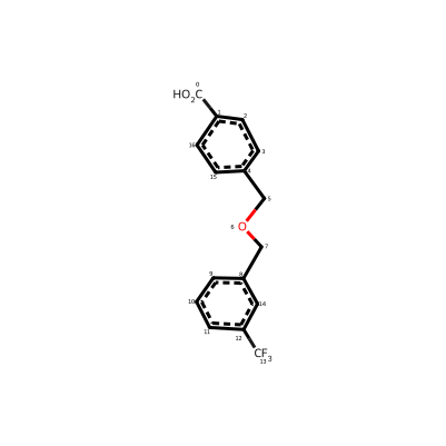 O=C(O)c1ccc(COCc2cccc(C(F)(F)F)c2)cc1